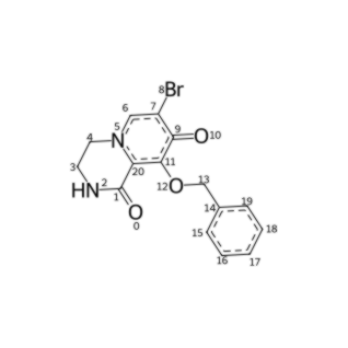 O=C1NCCn2cc(Br)c(=O)c(OCc3ccccc3)c21